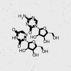 Nc1ncn([C@@H]2O[C@H](CO)[C@@H](O)[C@H]2O)c(=O)n1.O=c1cnn([C@@H]2O[C@H](CO)[C@@H](O)[C@H]2O)c(=O)[nH]1